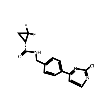 O=C(NCc1ccc(-c2ccnc(Cl)n2)cc1)[C@@H]1CC1(F)F